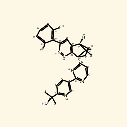 CC(C)(O)c1ccc(-c2nccc([C@]34CC[C@@H](c5cc(-c6c(F)cccc6F)nnc53)C4(C)C)n2)cn1